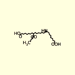 CCCCOC(=O)C(CCCCCCCC(=O)O)CCCCCCC1=C(CCCCCCCC(=O)O)N1